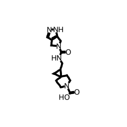 O=C(O)N1CCC2(CC1)CC2CNC(=O)N1Cc2cn[nH]c2C1